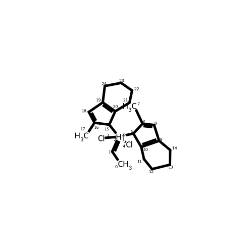 C[CH]=[Hf]([Cl])([Cl])([CH]1C(C)=CC2=C1CCCC2)[CH]1C(C)=CC2=C1CCCC2